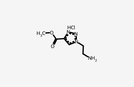 COC(=O)c1cn(CCN)nn1.Cl